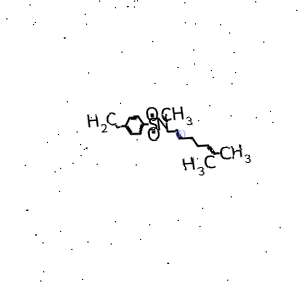 C=Cc1ccc(S(=O)(=O)N(C)C/C=C/CCC=C(C)C)cc1